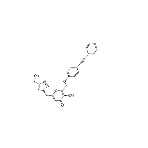 O=c1cc(Cn2cc(CO)nn2)oc(COc2ccc(C#Cc3ccccc3)cc2)c1O